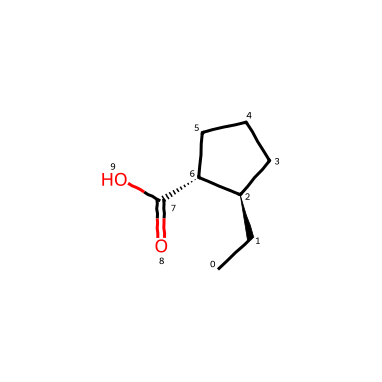 CC[C@@H]1CCC[C@H]1C(=O)O